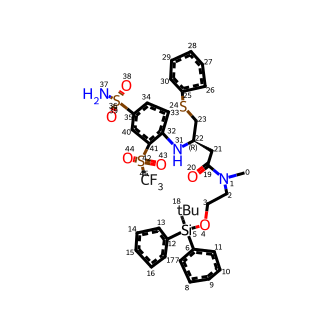 CN(CCO[Si](c1ccccc1)(c1ccccc1)C(C)(C)C)C(=O)C[C@H](CSc1ccccc1)Nc1ccc(S(N)(=O)=O)cc1S(=O)(=O)C(F)(F)F